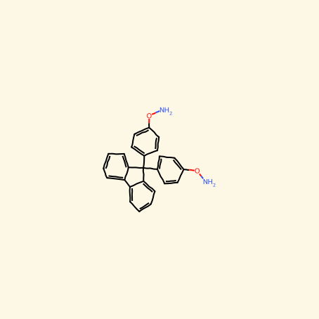 NOc1ccc(C2(c3ccc(ON)cc3)c3ccccc3-c3ccccc32)cc1